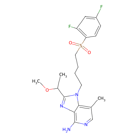 COC(C)c1nc2c(N)ncc(C)c2n1CCCCS(=O)(=O)c1ccc(F)cc1F